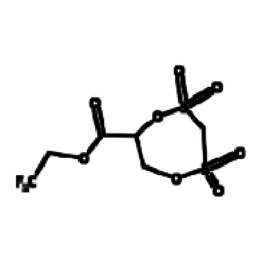 O=C(OCC(F)(F)F)C1COS(=O)(=O)CS(=O)(=O)O1